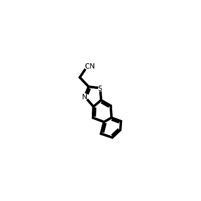 N#CCc1nc2cc3ccccc3cc2s1